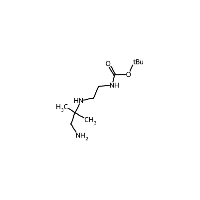 CC(C)(CN)NCCNC(=O)OC(C)(C)C